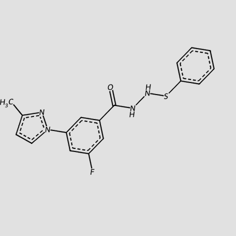 Cc1ccn(-c2cc(F)cc(C(=O)NNSc3ccccc3)c2)n1